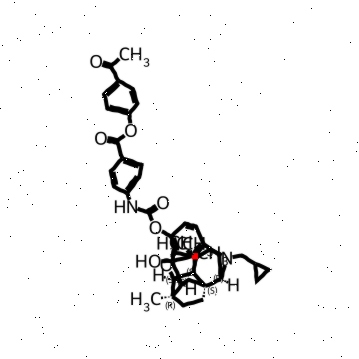 CC(=O)c1ccc(OC(=O)c2ccc(NC(=O)Oc3ccc4c5c3O[C@H]3[C@]6(C)CC[C@@]7(C[C@@H]6C(C)(O)C(C)(C)C)[C@@H](C4)N(CC4CC4)CC[C@]537)cc2)cc1